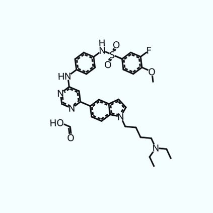 CCN(CC)CCCCn1ccc2cc(-c3cc(Nc4ccc(NS(=O)(=O)c5ccc(OC)c(F)c5)cc4)ncn3)ccc21.O=CO